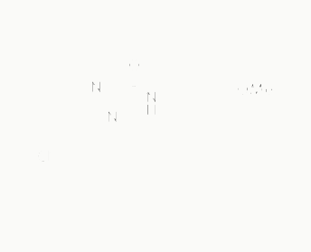 COc1cccc(CNC(=O)c2nc3ccc(Cl)cc3n2Cc2ccccc2)c1